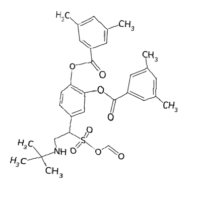 Cc1cc(C)cc(C(=O)Oc2ccc(C(CNC(C)(C)C)S(=O)(=O)OC=O)cc2OC(=O)c2cc(C)cc(C)c2)c1